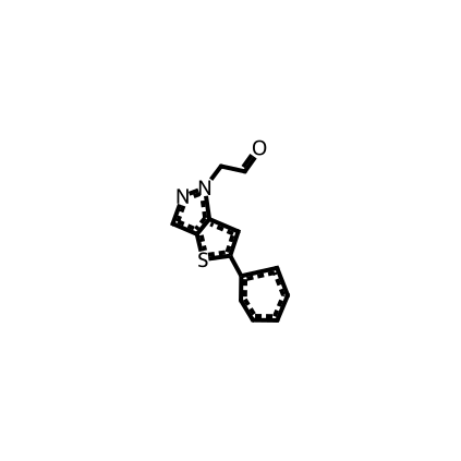 O=CCn1ncc2sc(-c3ccccc3)cc21